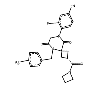 N#Cc1ccc(N2CC(=O)N(Cc3ccc(C(F)(F)F)cc3)[C@]3(C[C@@H](C(=O)N4CCC4)C3)C2=O)c(F)c1